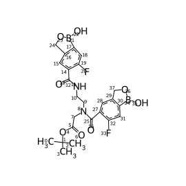 CC(C)(C)OC(=O)CN(CCNC(=O)c1cc2c(cc1F)B(O)OC2)C(=O)c1cc2c(cc1F)B(O)OC2